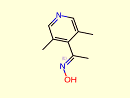 C/C(=N\O)c1c(C)cncc1C